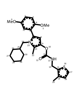 COc1ccc(OC)c(-c2cc(OC(=O)NCc3sccc3C)c(C)n2CC2CCCCC2)c1